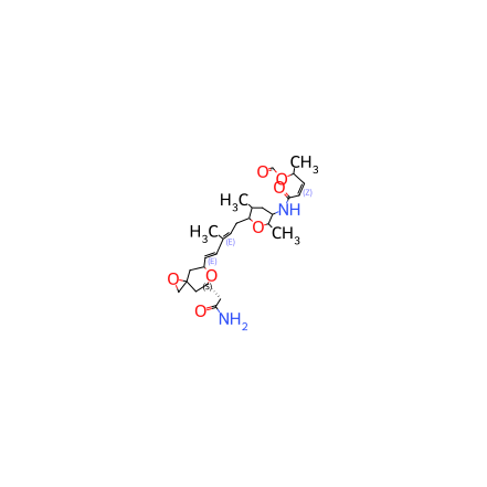 CC(/C=C/C1CC2(CO2)C[C@@H](CC(N)=O)O1)=C\CC1OC(C)C(NC(=O)/C=C\C(C)OC=O)CC1C